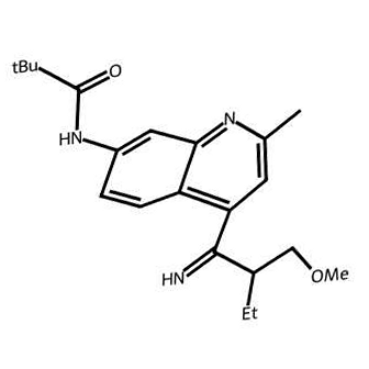 CCC(COC)C(=N)c1cc(C)nc2cc(NC(=O)C(C)(C)C)ccc12